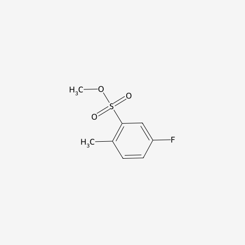 COS(=O)(=O)c1cc(F)ccc1C